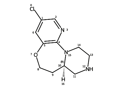 Clc1cnc2c(c1)OCC[C@@H]1CNCCN21